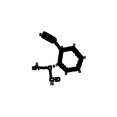 C#Cc1ccccc1.CCCOC=O